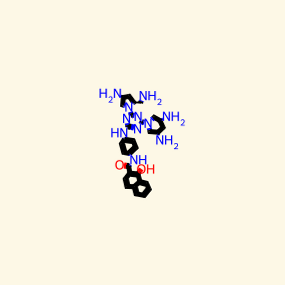 NC[C@@H]1C[C@H](N)CN1c1nc(Nc2ccc(NC(=O)c3ccc4ccccc4c3O)cc2)nc(N2C[C@H](N)C[C@H](N)C2)n1